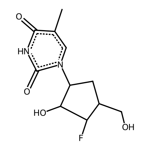 Cc1cn(C2CC(CO)C(F)C2O)c(=O)[nH]c1=O